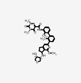 COc1nc(-c2cccc(-c3cccc(NC(=O)c4nn(C)c(=O)n(C)c4=O)c3C)c2C)cc2c1C(N[C@@H]1COC[C@@H]1O)CC2